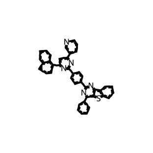 c1ccc(-c2nc(-c3ccc(-c4nc(-c5cccnc5)cc(-c5cccc6ccccc56)n4)cc3)nc3c2sc2ccccc23)cc1